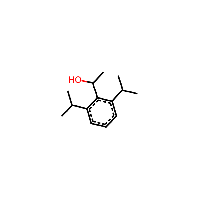 CC(C)c1cccc(C(C)C)c1C(C)O